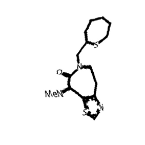 CNC1C(=O)N(CC2CCCCCS2)CCc2ncsc21